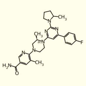 Cc1cc(C(N)=O)cnc1N1CCN(c2cc(-c3ccc(F)cc3)nc(N3CCCC3C)n2)[C@H](C)C1